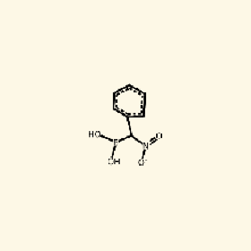 O=[N+]([O-])C(B(O)O)c1ccccc1